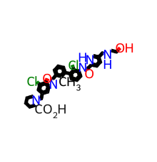 Cc1c(-c2nc3cc(CN4CCCC[C@H]4C(=O)O)cc(Cl)c3o2)cccc1-c1cccc(NC(=O)c2ccc(CNCCO)cn2)c1Cl